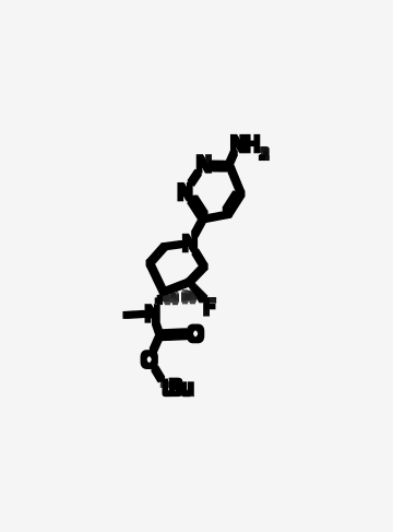 CN(C(=O)OC(C)(C)C)[C@@H]1CCN(c2ccc(N)nn2)C[C@H]1F